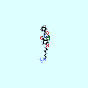 NCCCCCCOc1ccc(C(=O)N2CCOC(c3ccccc3)C2)c(Cl)c1